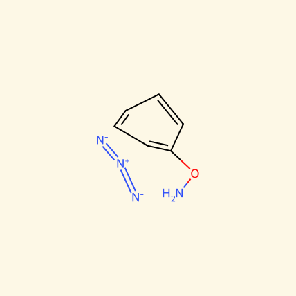 NOc1ccccc1.[N-]=[N+]=[N-]